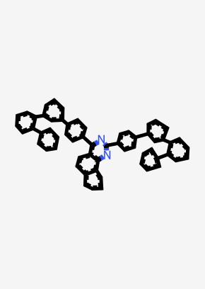 c1ccc(-c2ccccc2-c2cccc(-c3ccc(-c4nc(-c5ccc(-c6cccc(-c7ccccc7-c7ccccc7)c6)cc5)c5ccc6ccccc6c5n4)cc3)c2)cc1